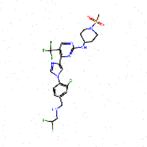 CS(=O)(=O)N1CCC(Nc2ncc(C(F)(F)F)c(-c3cn(-c4ccc(CNCC(F)F)cc4Cl)cn3)n2)CC1